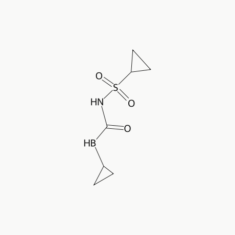 O=C(BC1CC1)NS(=O)(=O)C1CC1